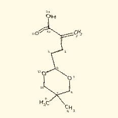 C=C(CCC1OCC(C)(C)CO1)C(=O)O